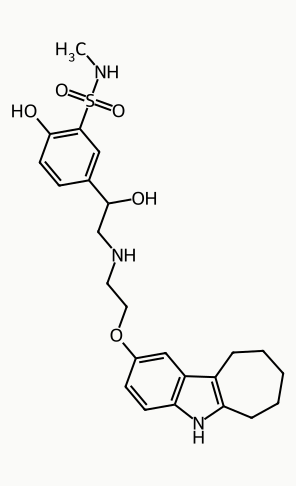 CNS(=O)(=O)c1cc(C(O)CNCCOc2ccc3[nH]c4c(c3c2)CCCCC4)ccc1O